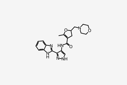 CC1=C(C(=O)Nc2c[nH]nc2-c2nc3ccccc3[nH]2)CC(CN2CCOCC2)O1